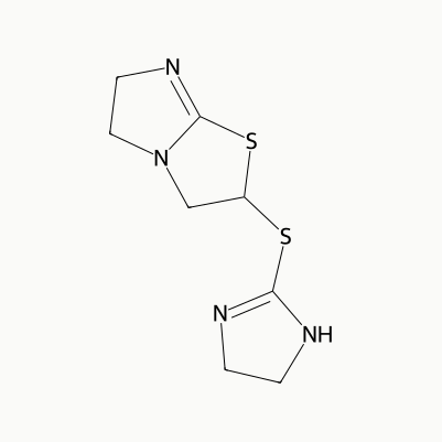 C1CNC(SC2CN3CCN=C3S2)=N1